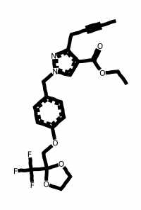 CC#CCc1nn(Cc2ccc(OCC3(C(F)(F)F)OCCO3)cc2)cc1C(=O)OCC